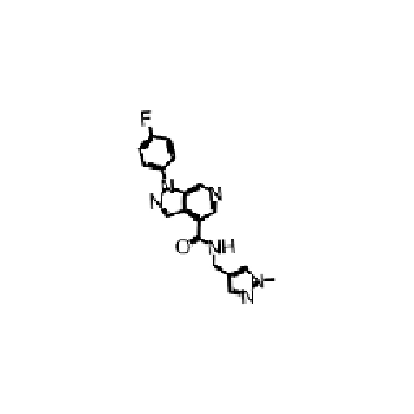 Cn1cc(CNC(=O)c2cncc3c2cnn3-c2ccc(F)cc2)cn1